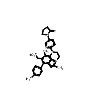 Cc1ccc(-c2c(CC(=O)O)c(C)c3c4c2cc(C)n4CCN3c2ccc(N3CCCC3=O)cn2)cc1